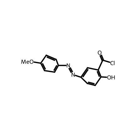 COc1ccc(N=Nc2ccc(O)c(C(=O)Cl)c2)cc1